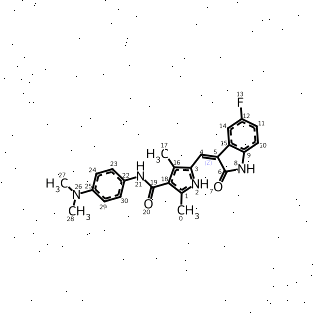 Cc1[nH]c(/C=C2\C(=O)Nc3ccc(F)cc32)c(C)c1C(=O)Nc1ccc(N(C)C)cc1